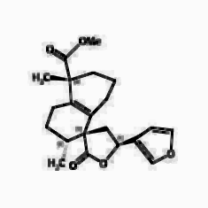 COC(=O)[C@]1(C)CCCC2=C1CC[C@@H](C)[C@]21C[C@@H](c2ccoc2)OC1=O